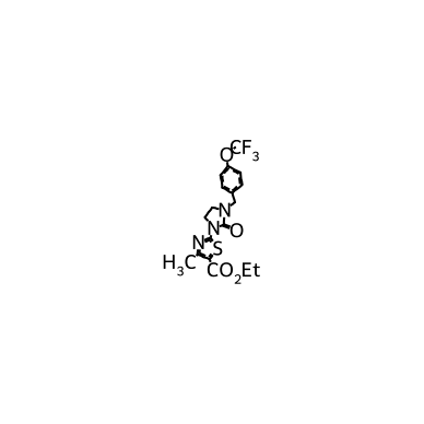 CCOC(=O)c1sc(N2CCN(Cc3ccc(OC(F)(F)F)cc3)C2=O)nc1C